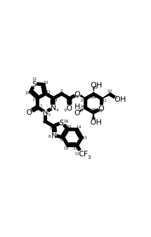 O=C(Cc1nn(Cc2nc3cc(C(F)(F)F)ccc3s2)c(=O)c2cscc12)O[C@@H]1[C@@H](O)[C@H](O)O[C@H](CO)[C@H]1O